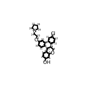 Oc1ccc2c(c1)OC[C@H](c1ccc(Cl)cc1)[C@H]2c1ccc(OCCN2CCCC2)cc1